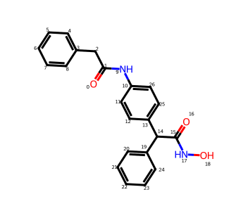 O=C(Cc1ccccc1)Nc1ccc(C(C(=O)NO)c2ccccc2)cc1